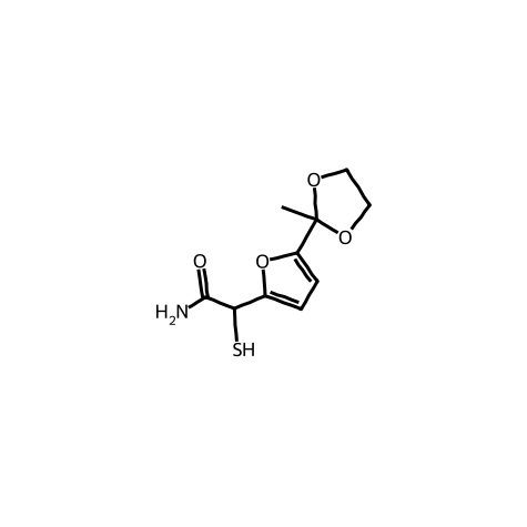 CC1(c2ccc(C(S)C(N)=O)o2)OCCO1